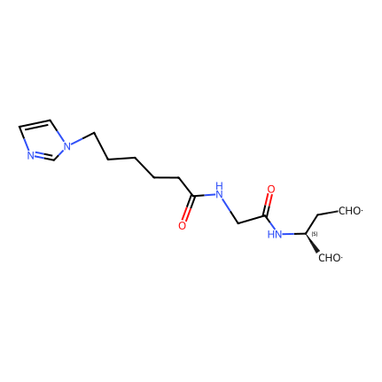 O=[C]C[C@@H]([C]=O)NC(=O)CNC(=O)CCCCCn1ccnc1